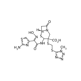 Cn1nnnc1SCSC1(C(=O)O)CN2C(=O)C[C@H]2SC1NC(=O)C(=NO)c1csc(N)n1